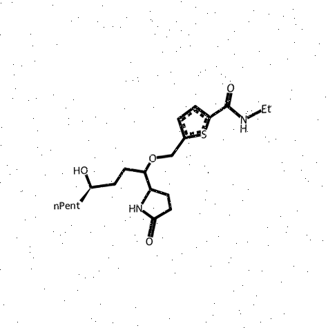 CCCCC[C@@H](O)CCC(OCc1ccc(C(=O)NCC)s1)C1CCC(=O)N1